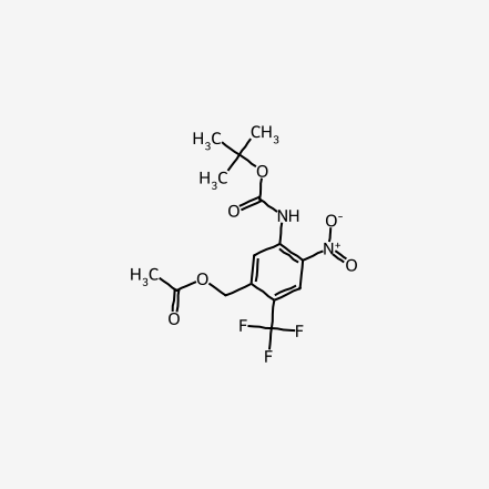 CC(=O)OCc1cc(NC(=O)OC(C)(C)C)c([N+](=O)[O-])cc1C(F)(F)F